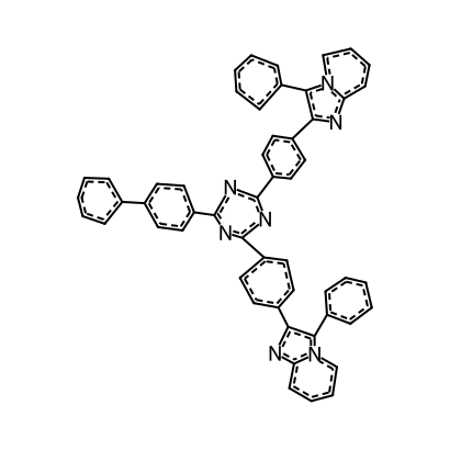 c1ccc(-c2ccc(-c3nc(-c4ccc(-c5nc6ccccn6c5-c5ccccc5)cc4)nc(-c4ccc(-c5nc6ccccn6c5-c5ccccc5)cc4)n3)cc2)cc1